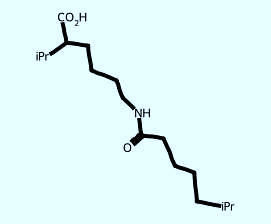 CC(C)CCCCC(=O)NCCCCC(C(=O)O)C(C)C